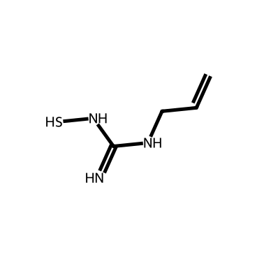 C=CCNC(=N)NS